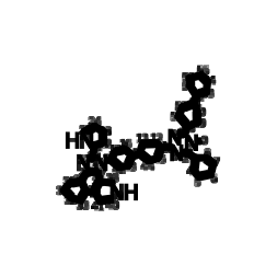 CN1C(c2ccccc2)=NC(c2ccc(-c3ccc(-n4c(C5C=CC=CN5)nc5c6ccccc6c6c(c54)CNC=C6)cc3)cc2)=NC1c1ccc(-c2ccccc2)cc1